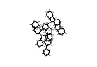 C1=C(c2ccc(-c3ccccc3)cc2)CCC=C1n1c2ccccc2c2ccc3c4ccccc4n(-c4nc(-c5ccccc5)nc(-c5cccc6c7ccccc7n(-c7ccccc7)c56)n4)c3c21